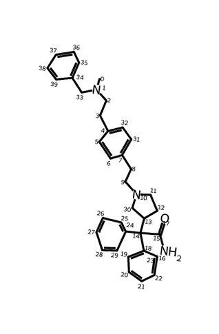 CN(CCc1ccc(CCN2CCC(C(C(N)=O)(c3ccccc3)c3ccccc3)C2)cc1)Cc1ccccc1